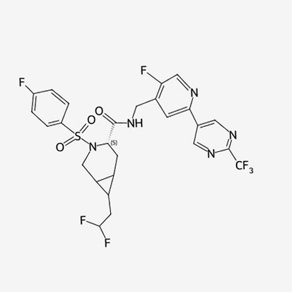 O=C(NCc1cc(-c2cnc(C(F)(F)F)nc2)ncc1F)[C@@H]1CC2C(CC(F)F)C2CN1S(=O)(=O)c1ccc(F)cc1